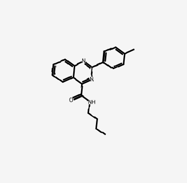 CCCCNC(=O)c1nc(-c2ccc(C)cc2)nc2ccccc12